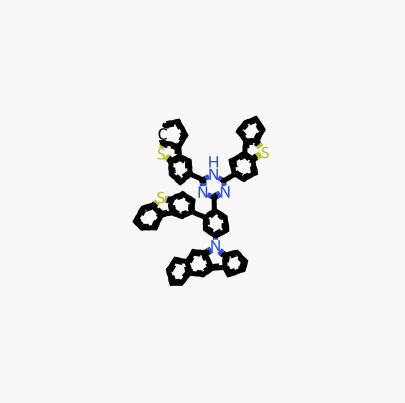 c1ccc2cc3c(cc2c1)c1ccccc1n3-c1ccc(C2=NC(c3ccc4sc5ccccc5c4c3)NC(c3ccc4sc5ccccc5c4c3)=N2)c(-c2ccc3sc4ccccc4c3c2)c1